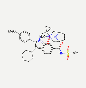 CCCS(=O)(=O)NC(=O)c1ccc2c(C3CCCCC3)c(-c3ccc(OC)cc3)n(CC3(C(=O)N4C5CCC4CN(C)C5)CC3)c2c1